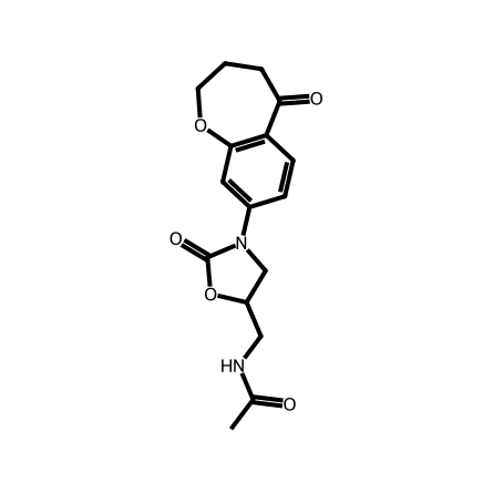 CC(=O)NCC1CN(c2ccc3c(c2)OCCCC3=O)C(=O)O1